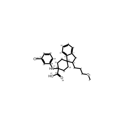 COCCCC1Cc2ccccc2C12CCC(Nc1cccc(Cl)c1)(C(=O)O)CC2